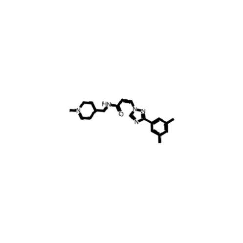 Cc1cc(C)cc(-c2ncn(/C=C\C(=O)NCC3CCN(C)CC3)n2)c1